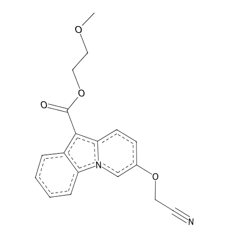 COCCOC(=O)c1c2ccccc2n2cc(OCC#N)ccc12